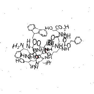 CC[C@H](C)[C@H](NC(=O)[C@@H](CCCCNC(=O)OCc1ccccc1)NC(=O)[C@H](CC(C)C)NC(=O)C(NC(=O)[C@@H](NC(=O)OCC1c2ccccc2-c2ccccc21)[C@H](N)c1ccccc1)[C@H](O)C(C)C)C(=O)N[C@H](C(=O)NCC(=O)N[C@@H](CO)C(=O)N[C@@H](CO)C(=O)O)[C@H](C)O